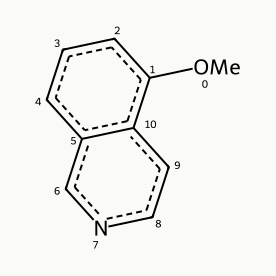 [CH2-][OH+]c1cccc2cnccc12